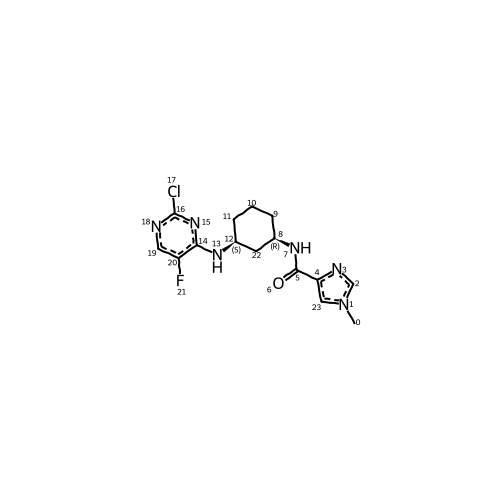 Cn1cnc(C(=O)N[C@@H]2CCC[C@H](Nc3nc(Cl)ncc3F)C2)c1